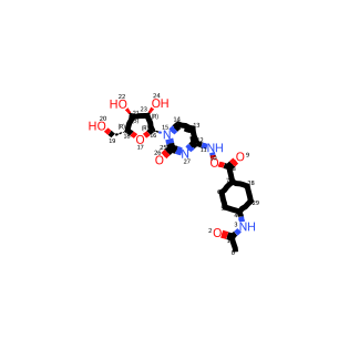 CC(=O)NC1CCC(C(=O)ONc2ccn([C@@H]3O[C@H](CO)[C@@H](O)[C@H]3O)c(=O)n2)CC1